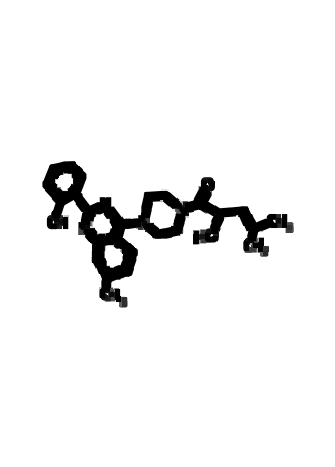 CC(C)=CC(O)C(=O)N1CCN(c2nc(-c3ccccc3O)nc3cc(C)ccc23)CC1